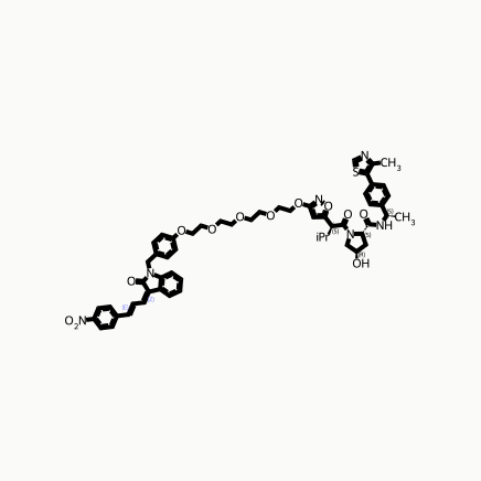 Cc1ncsc1-c1ccc([C@H](C)NC(=O)[C@@H]2C[C@@H](O)CN2C(=O)[C@H](c2cc(OCCOCCOCCOCCOc3ccc(CN4C(=O)/C(=C\C=C\c5ccc([N+](=O)[O-])cc5)c5ccccc54)cc3)no2)C(C)C)cc1